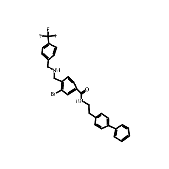 O=C(NCCc1ccc(-c2ccccc2)cc1)c1ccc(CNCc2ccc(C(F)(F)F)cc2)c(Br)c1